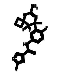 Cc1nc(C(=O)Nc2ccc(F)c(C3(C)N=C(N)OC4(CCC4)C3(F)F)c2)co1